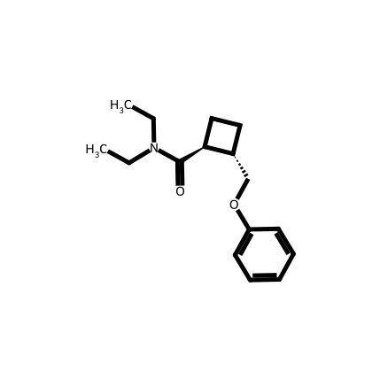 CCN(CC)C(=O)[C@H]1CC[C@@H]1COc1ccccc1